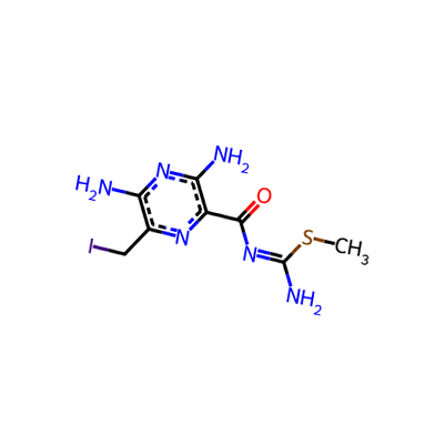 CS/C(N)=N\C(=O)c1nc(CI)c(N)nc1N